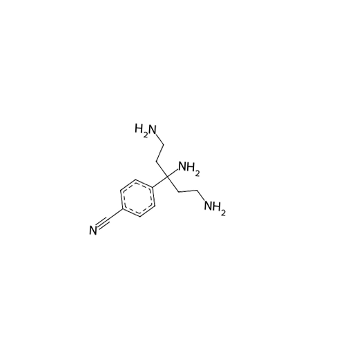 N#Cc1ccc(C(N)(CCN)CCN)cc1